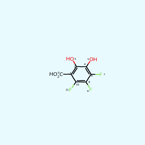 O=C(O)c1c(O)c(O)c(F)c(F)c1F